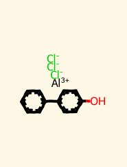 Oc1ccc(-c2ccccc2)cc1.[Al+3].[Cl-].[Cl-].[Cl-]